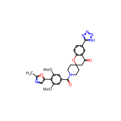 COc1cc(C(=O)N2CCC3(CC2)CC(=O)c2cc(-c4nnn[nH]4)ccc2O3)cc(OC)c1-c1cnc(C)o1